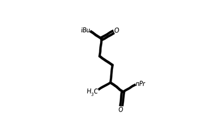 CCCC(=O)C(C)CCC(=O)C(C)CC